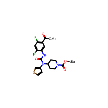 COC(=O)c1cc(NC(=O)N(c2ccsc2)C2CCN(C(=O)OC(C)(C)C)CC2)c(F)cc1F